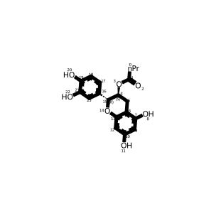 CCCC(=O)O[C@H]1Cc2c(O)cc(O)cc2O[C@@H]1c1ccc(O)c(O)c1